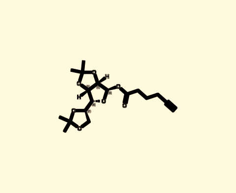 C#CCCCC(=O)O[C@H]1O[C@H]([C@H]2COC(C)(C)O2)[C@@H]2OC(C)(C)O[C@H]12